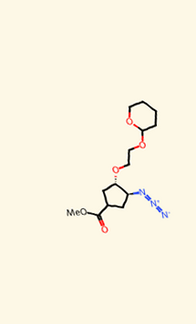 COC(=O)C1C[C@H](N=[N+]=[N-])[C@@H](OCCOC2CCCCO2)C1